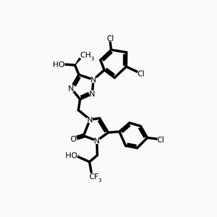 C[C@H](O)c1nc(Cn2cc(-c3ccc(Cl)cc3)n(CC(O)C(F)(F)F)c2=O)nn1-c1cc(Cl)cc(Cl)c1